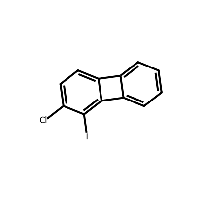 Clc1ccc2c(c1I)-c1ccccc1-2